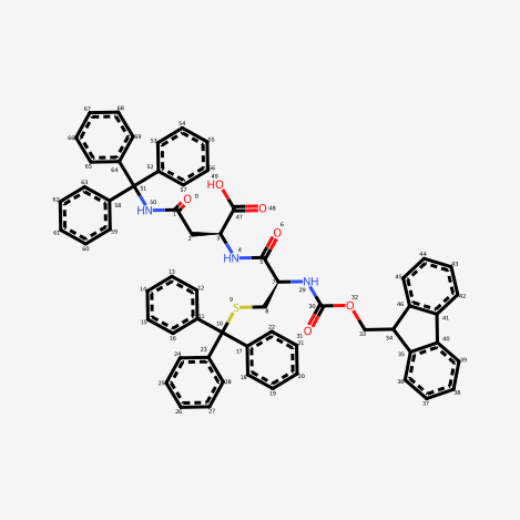 O=C(C[C@H](NC(=O)[C@H](CSC(c1ccccc1)(c1ccccc1)c1ccccc1)NC(=O)OCC1c2ccccc2-c2ccccc21)C(=O)O)NC(c1ccccc1)(c1ccccc1)c1ccccc1